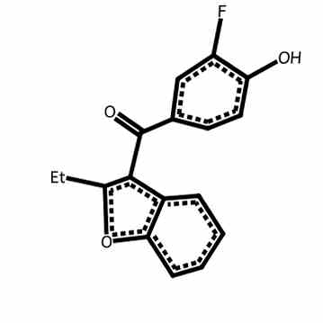 CCc1oc2ccccc2c1C(=O)c1ccc(O)c(F)c1